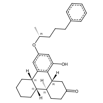 C[C@H](CCCc1ccccc1)Oc1cc(O)c2c(c1)[C@H]1CCCC[C@H]1[C@@H]1CCC(=O)C[C@@H]21